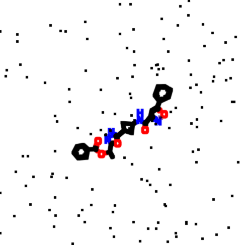 CC(OC(=O)c1ccccc1)c1nnc(C2CC(NC(=O)c3cc(-c4ccccc4)on3)C2)o1